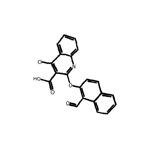 O=Cc1c(Oc2nc3ccccc3c(Cl)c2C(=O)O)ccc2ccccc12